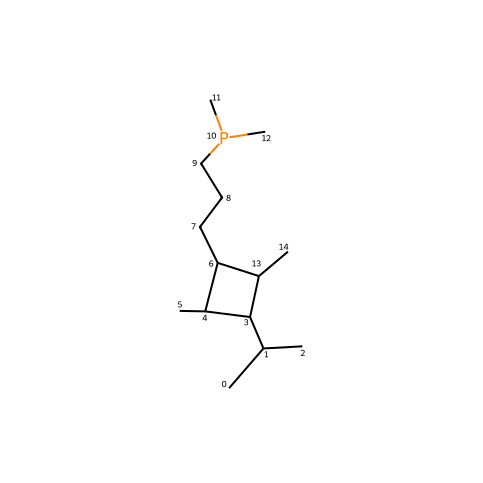 CC(C)C1C(C)C(CCCP(C)C)C1C